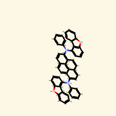 C1=CC2Oc3cccc(N(c4ccccc4)c4ccc5ccc6c(N(c7ccccc7)c7cccc8oc9ccccc9c78)ccc7ccc4c5c76)c3C2C=C1